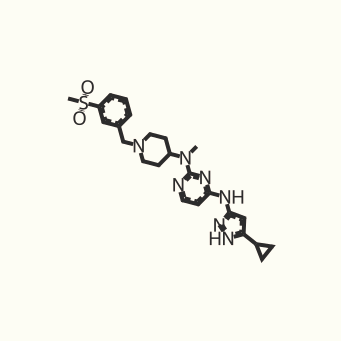 CN(c1nccc(Nc2cc(C3CC3)[nH]n2)n1)C1CCN(Cc2cccc(S(C)(=O)=O)c2)CC1